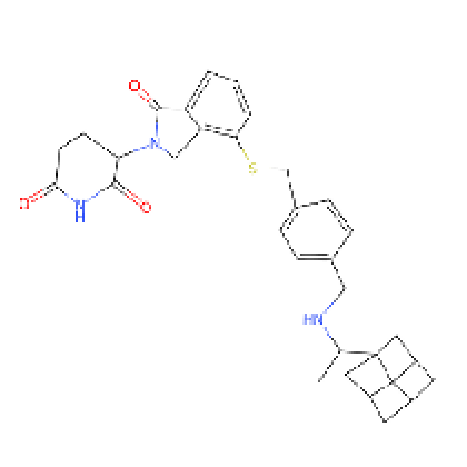 CC(NCc1ccc(CSc2cccc3c2CN(C2CCC(=O)NC2=O)C3=O)cc1)C12CC3CC4CC(C1)C432